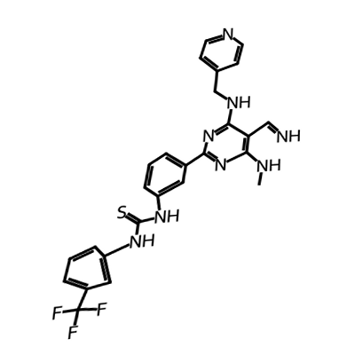 CNc1nc(-c2cccc(NC(=S)Nc3cccc(C(F)(F)F)c3)c2)nc(NCc2ccncc2)c1C=N